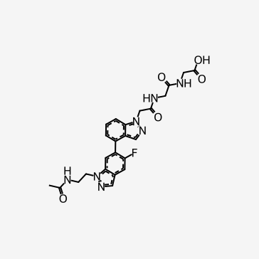 CC(=O)NCCn1ncc2cc(F)c(-c3cccc4c3cnn4CC(=O)NCC(=O)NCC(=O)O)cc21